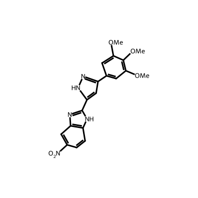 COc1cc(-c2cc(-c3nc4cc([N+](=O)[O-])ccc4[nH]3)[nH]n2)cc(OC)c1OC